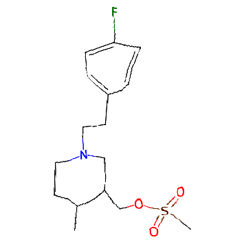 CC1CCN(CCc2ccc(F)cc2)CC1COS(C)(=O)=O